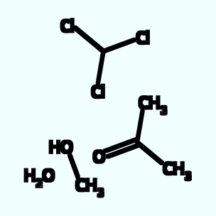 CC(C)=O.CO.ClC(Cl)Cl.O